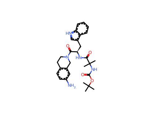 CC(C)(C)OC(=O)NC(C)(C)C(=O)N[C@H](Cc1c[nH]c2ccccc12)C(=O)N1CCc2ccc(N)cc2C1